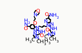 CCn1c(C)cnc1C(=O)Nc1nc2cc(C(N)=O)cnc2n1CC=CCn1c(NC(=O)c2ncc(C)n2CC)nc2cc(C(N)=O)cc(OCCCN3CCOCC3)c21